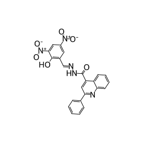 O=C(N/N=C/c1cc([N+](=O)[O-])cc([N+](=O)[O-])c1O)c1cc(-c2ccccc2)nc2ccccc12